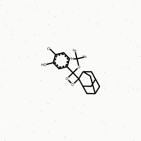 [2H]C([2H])([2H])OC1(c2ccc(Cl)c(O)c2)OOC12C1CC3CC(C1)CC2C3